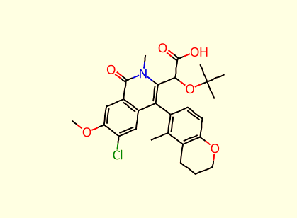 COc1cc2c(=O)n(C)c(C(OC(C)(C)C)C(=O)O)c(-c3ccc4c(c3C)CCCO4)c2cc1Cl